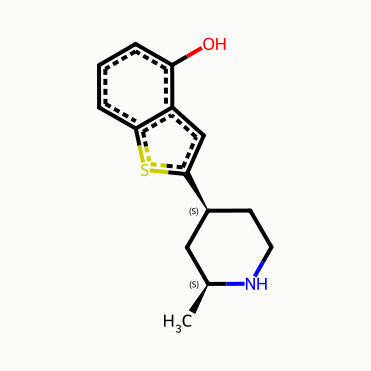 C[C@H]1C[C@@H](c2cc3c(O)cccc3s2)CCN1